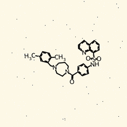 Cc1ccc(C)c(CN2CCCN(C(=O)c3ccc(NS(=O)(=O)c4cccc5cccnc45)cc3)CC2)c1